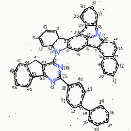 C1=CC2c3c(cc4c5c6ccccc6ccc5n5c6ccccc6c3c45)N(c3nc(-c4ccc(-c5ccccc5)cc4)nc4c3Cc3ccccc3-4)C2C=C1